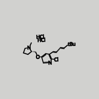 CN1CCC[C@H]1COc1cnc(Cl)c(C=CC=CC(C)(C)C)c1.Cl.Cl